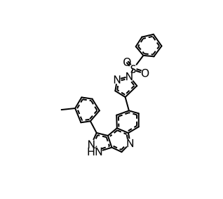 Cc1cccc(-c2n[nH]c3cnc4ccc(-c5cnn(S(=O)(=O)c6ccccc6)c5)cc4c23)c1